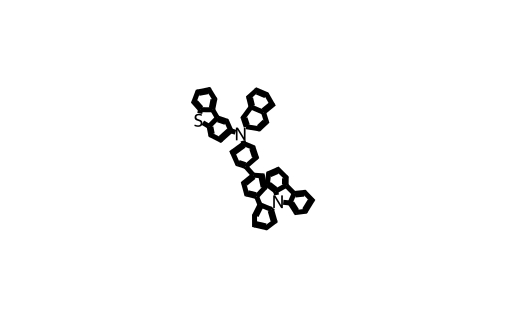 c1ccc(-n2c3ccccc3c3ccccc32)c(-c2ccc(-c3ccc(N(c4ccc5ccccc5c4)c4ccc5sc6ccccc6c5c4)cc3)cc2)c1